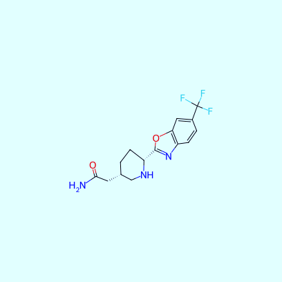 NC(=O)C[C@@H]1CC[C@H](c2nc3ccc(C(F)(F)F)cc3o2)NC1